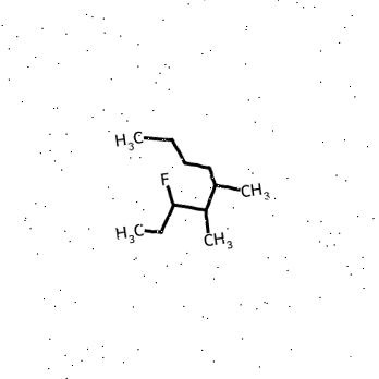 CCCCC(C)C(C)C(F)CC